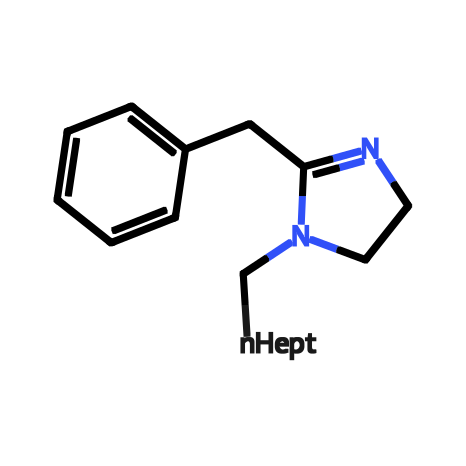 CCCCCCCCN1CCN=C1Cc1ccccc1